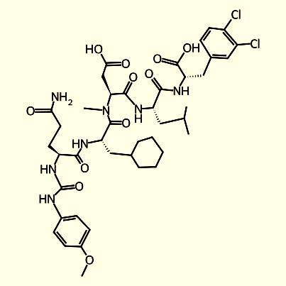 COc1ccc(NC(=O)N[C@@H](CCC(N)=O)C(=O)N[C@@H](CC2CCCCC2)C(=O)N(C)[C@@H](CC(=O)O)C(=O)N[C@@H](CC(C)C)C(=O)N[C@@H](Cc2ccc(Cl)c(Cl)c2)C(=O)O)cc1